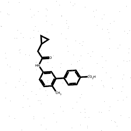 Cc1ccc(NC(=O)CC2CC2)cc1-c1ccc(C(=O)O)cc1